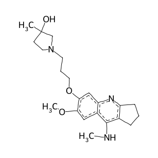 CNc1c2c(nc3cc(OCCCN4CCC(C)(O)C4)c(OC)cc13)CCC2